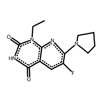 CCn1c(=O)[nH]c(=O)c2cc(F)c(N3CCCC3)nc21